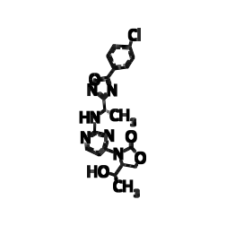 C[C@H](Nc1nccc(N2C(=O)OCC2[C@@H](C)O)n1)c1noc(-c2ccc(Cl)cc2)n1